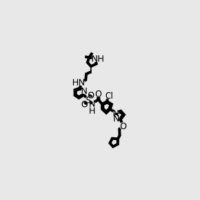 CC1(C)C[C@H](CCCNc2cccc(S(=O)(=O)NC(=O)c3ccc(-n4ccc(OCCC5CCCC5)n4)cc3Cl)n2)CN1